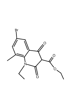 CCOC(=O)C1C(=O)c2cc(Br)cc(C)c2N(CC)C1=O